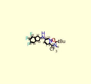 CN(C(=O)C(C)(C)C)C(c1ccc(NC2Cc3cc(F)c(F)c(F)c3C2)cn1)C(F)(F)F